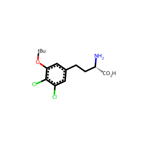 CC(C)(C)Oc1cc(CC[C@H](N)C(=O)O)cc(Cl)c1Cl